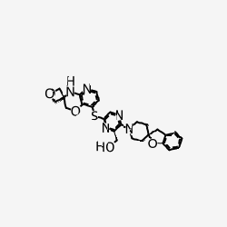 OCc1nc(Sc2ccnc3c2OCC2(COC2)N3)cnc1N1CCC2(CC1)Cc1ccccc1O2